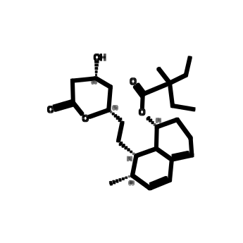 CCC(C)(CC)C(=O)O[C@@H]1CCC=C2C=C[C@H](C)[C@H](CC[C@H]3C[C@@H](O)CC(=O)O3)C21